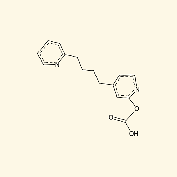 O=C(O)Oc1cc(CCCCc2ccccn2)ccn1